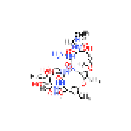 Cc1cc2ccc1Oc1cc3cc(c1C)Oc1ccc(cc1C)C(O)C(NC(=O)C(CC(C)C)N(C)C)C(=O)NC(CC(N)=O)C(=O)NC3C(=O)NC1C(=O)NC(C(=O)NC([C](=O)[Rb])c3cc(O)c(C)c(O)c3-c3cc1ccc3O)C2C